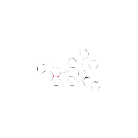 c1ccc(-c2ccc(-c3ccc4ccccc4c3)cc2N(c2ccc3c(c2)sc2ccccc23)c2cccc3c2-c2ccccc2C3(c2ccccc2)c2ccccc2)cc1